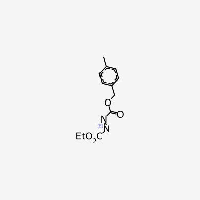 CCOC(=O)/N=N/C(=O)OCc1ccc(C)cc1